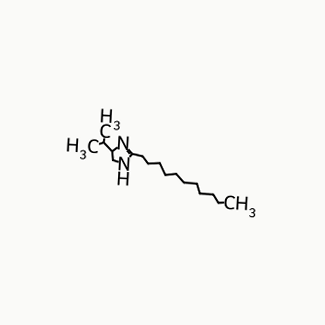 CCCCCCCCCCCC1=NC(C(C)C)CN1